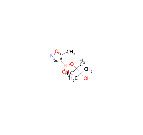 Cc1oncc1B(O)OC(C)(C)C(C)(C)O